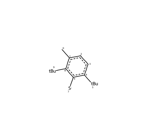 Cc1ccc(C(C)(C)C)c([S])c1C(C)(C)C